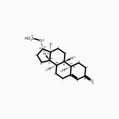 C[C@]12CC[C@H]3[C@@H](CCC4=CC(=O)CC[C@@H]43)[C@@H]1CC[C@@H]2OS(=O)(=O)O